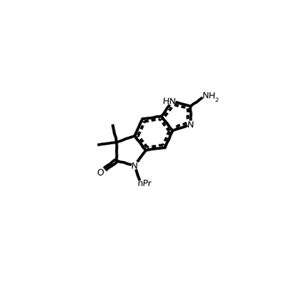 CCCN1C(=O)C(C)(C)c2cc3[nH]c(N)nc3cc21